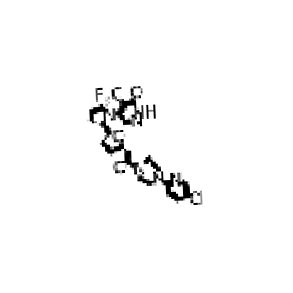 O=C(C[C@@H]1CC[C@@H]([C@@H]2CCCN2c2cn[nH]c(=O)c2C(F)(F)F)O1)N1CCN(c2ccc(Cl)cn2)CC1